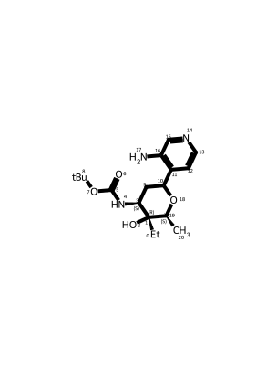 CC[C@@]1(O)[C@@H](NC(=O)OC(C)(C)C)CC(c2ccncc2N)O[C@H]1C